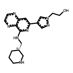 OCCn1cc(-c2cc3nccnc3c(NC[C@H]3CCCNC3)n2)cn1